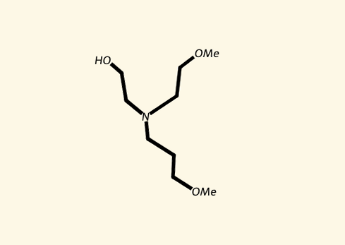 COCCCN(CCO)CCOC